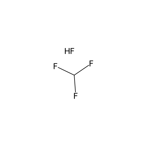 F.FC(F)F